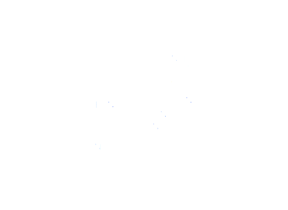 NSP(=O)(SN)Sc1nnc(SP(=O)(SN)SN)s1